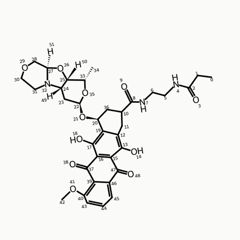 CCC(=O)NCCNC(=O)C1Cc2c(O)c3c(c(O)c2[C@@H](O[C@H]2C[C@H]4[C@H](O[C@@H]5COCCN54)[C@H](C)O2)C1)C(=O)c1c(OC)cccc1C3=O